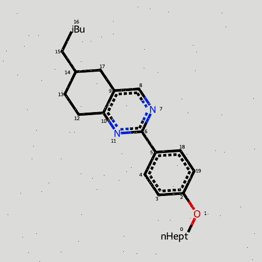 CCCCCCCOc1ccc(-c2ncc3c(n2)CCC(CC(C)CC)C3)cc1